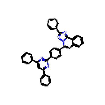 c1ccc(-c2cc(-c3ccccc3)nc(-c3ccc(-c4cc5ccccc5c5nc(-c6ccccc6)nn45)cc3)n2)cc1